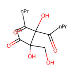 CCCC(=O)C(O)(CO)C(O)(C(=O)CCC)C(=O)CCC